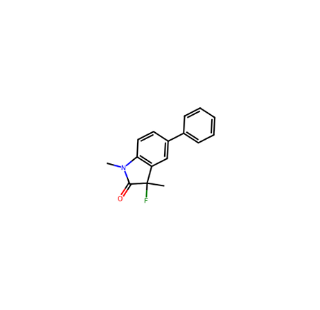 CN1C(=O)C(C)(F)c2cc(-c3ccccc3)ccc21